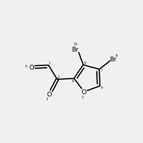 O=CC(=O)c1occ(Br)c1Br